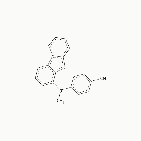 CN(c1ccc(C#N)cc1)c1cccc2c1oc1ccccc12